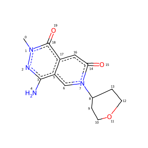 Cn1nc(N)c2cn(C3CCOCC3)c(=O)cc2c1=O